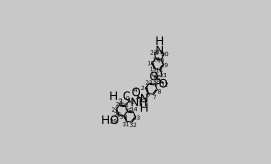 CC(NC(=O)Nc1ccc(S(=O)(=O)Cc2ccc3c(c2)CNC3)cc1)c1ccc(O)c2ccccc12